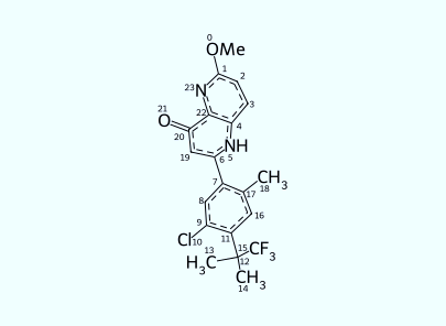 COc1ccc2[nH]c(-c3cc(Cl)c(C(C)(C)C(F)(F)F)cc3C)cc(=O)c2n1